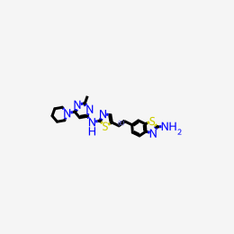 Cc1nc(Nc2ncc(/C=C/c3ccc4nc(N)sc4c3)s2)cc(N2CCCCC2)n1